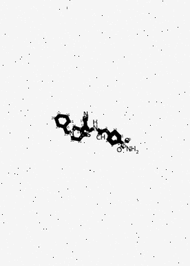 C=C(Cc1ccc(S(N)(=O)=O)cc1)Nc1sc2c(c1C#N)CN(CC1CCCCC1)CC2